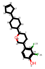 Oc1ccc(C2CCC(C3CCC(C4CC=CC4)CC3)OC2)c(F)c1F